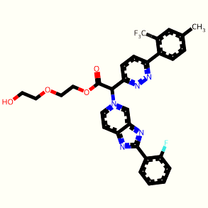 Cc1ccc(-c2ccc(C(C(=O)OCCOCCO)n3ccc4nc(-c5ccccc5F)nc-4c3)nn2)c(C(F)(F)F)c1